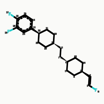 FC=C[C@H]1CC[C@H](CC[C@H]2CC[C@H](c3ccc(F)c(F)c3)CC2)CC1